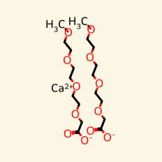 COCCOCCOCCOCC(=O)[O-].COCCOCCOCCOCC(=O)[O-].[Ca+2]